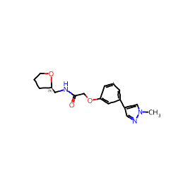 Cn1cc(-c2c[c]cc(OCC(=O)NC[C@H]3CCCO3)c2)cn1